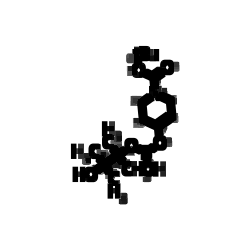 CC(C)(C)OC(=O)N1CC=C(OB(O)OC(C)(C)C(C)(C)O)CC1